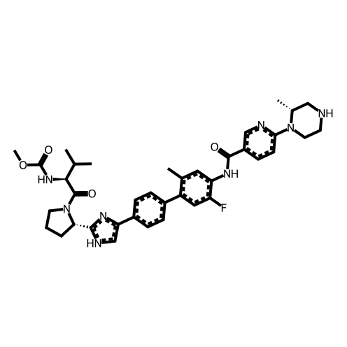 COC(=O)N[C@H](C(=O)N1CCC[C@H]1c1nc(-c2ccc(-c3cc(F)c(NC(=O)c4ccc(N5CCNC[C@H]5C)nc4)cc3C)cc2)c[nH]1)C(C)C